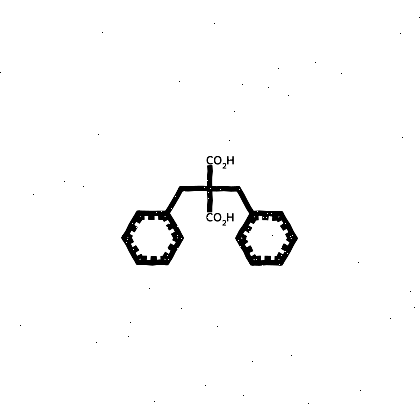 O=C(O)C(Cc1ccccc1)(Cc1ccccc1)C(=O)O